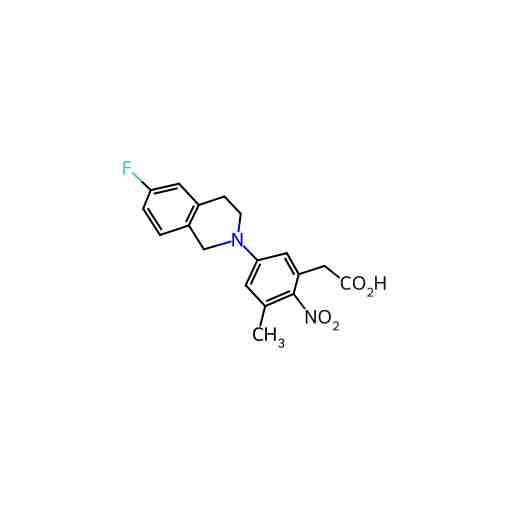 Cc1cc(N2CCc3cc(F)ccc3C2)cc(CC(=O)O)c1[N+](=O)[O-]